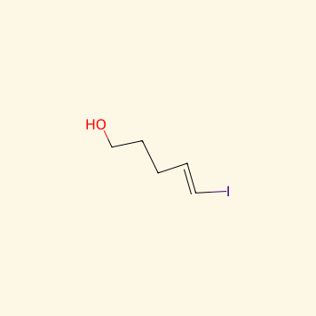 OCCC/C=C/I